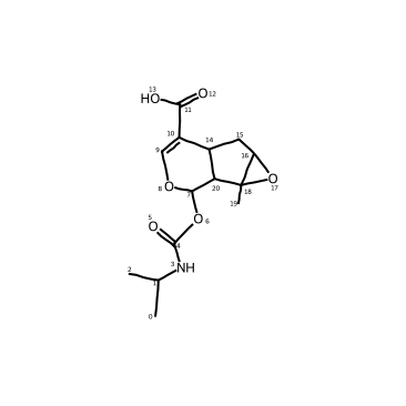 CC(C)NC(=O)OC1OC=C(C(=O)O)C2CC3OC3(C)C12